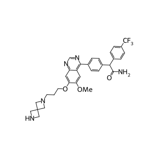 COc1cc2c(-c3ccc(C(C(N)=O)c4ccc(C(F)(F)F)cc4)cc3)ncnc2cc1OCCCN1CC2(CNC2)C1